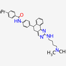 CCCc1ccc(C(=O)Nc2ccc(C3Cc4cnc(NCCCCN(C)C)nc4-c4ccccc43)cc2)cc1